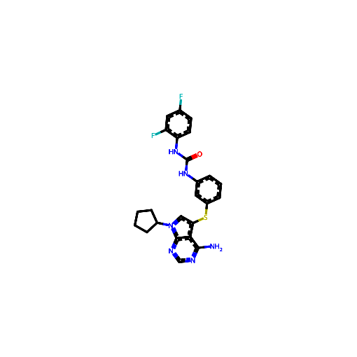 Nc1ncnc2c1c(Sc1cccc(NC(=O)Nc3ccc(F)cc3F)c1)cn2C1CCCC1